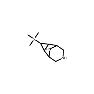 C[Si](C)(C)C1C2C3CNCC(N3)C21